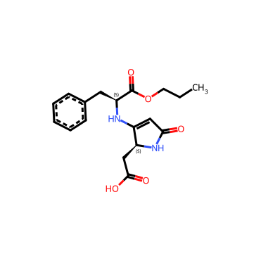 CCCOC(=O)[C@H](Cc1ccccc1)NC1=CC(=O)N[C@H]1CC(=O)O